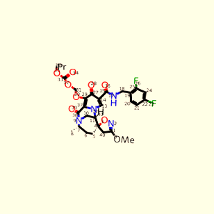 COC1=NO[C@@]2(CC[C@H](C)N3C[C@H]2n2cc(C(=O)NCc4ccc(F)cc4F)c(=O)c(OCOC(=O)OC(C)C)c2C3=O)C1